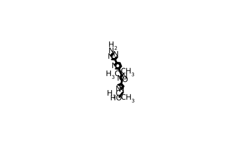 CC(C)(O)Cn1cc(-c2nc(C(C)(C)c3ccc(-c4cnc(N)nc4)nc3)no2)cn1